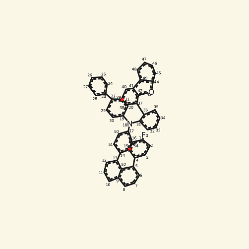 Fc1ccc(-c2cccc3cccc(-c4ccc(N(c5ccc(-c6ccccc6)cc5)c5ccccc5-c5cccc6c5oc5ccccc56)cc4)c23)cc1